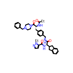 CCC(=O)N[C@H](Cc1ccc(CNC(=O)[C@@H](NC(=O)c2ccnn2CC)C2Cc3ccccc3C2)cc1)C(=O)N1CCN(Cc2ccccc2)CC1